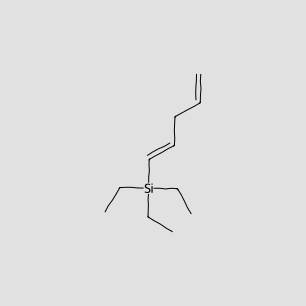 C=CCC=C[Si](CC)(CC)CC